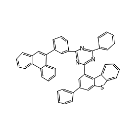 c1ccc(-c2cc(-c3nc(-c4ccccc4)nc(-c4cccc(-c5cc6ccccc6c6ccccc56)c4)n3)c3c(c2)sc2ccccc23)cc1